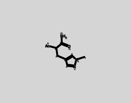 CC(=O)C(Cc1cnn(C)c1)C(N)=O